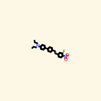 CCCN(CCC)c1ccc(-c2ccc(/C=C/c3ccc([N+](=O)[O-])c(F)c3)cc2)cc1